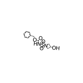 O=C(NS(=O)(=O)N1CC(O)C1)OCc1ccccc1